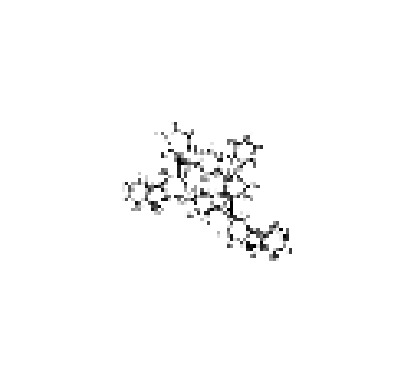 c1ccc(-c2cc3c4ccccc4n(-c4ccc5sc6ccncc6c5c4)c3cc2-c2cccc3c2c2ccccc2n3-c2ccc3sc4ccncc4c3c2)cc1